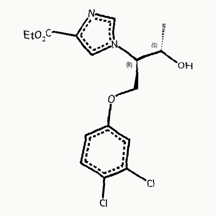 CCOC(=O)c1cn([C@H](COc2ccc(Cl)c(Cl)c2)[C@H](C)O)cn1